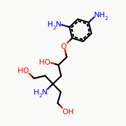 Nc1ccc(OCC(O)CC(N)(CCO)CCO)c(N)c1